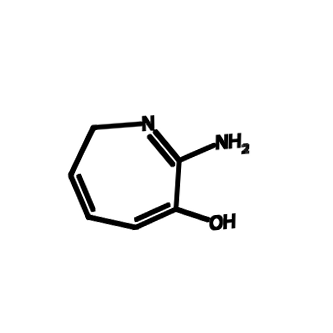 NC1=NCC=CC=C1O